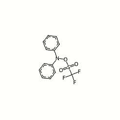 O=S(=O)(ON(c1ccccc1)c1ccccc1)C(F)(F)F